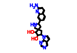 Nc1ccc2ccc(C3CC4(CN3)CC(n3ccc5cncnc53)C(O)C4O)cc2n1